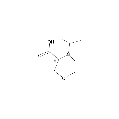 CC(C)N1CCOC[C@@H]1C(=O)O